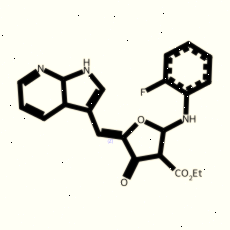 CCOC(=O)C1C(=O)/C(=C/C2=CNC3N=CC=CC23)OC1Nc1ccccc1F